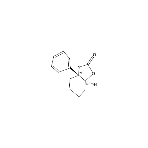 O=C1N[C@@]2(c3ccccc3)CCCC[C@@H]2O1